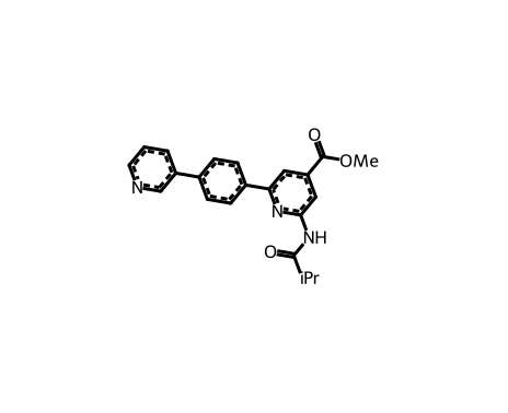 COC(=O)c1cc(NC(=O)C(C)C)nc(-c2ccc(-c3cccnc3)cc2)c1